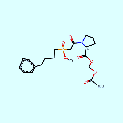 CCOP(=O)(CCCCc1ccccc1)CC(=O)N1CCC[C@H]1C(=O)OCOC(=O)C(C)(C)C